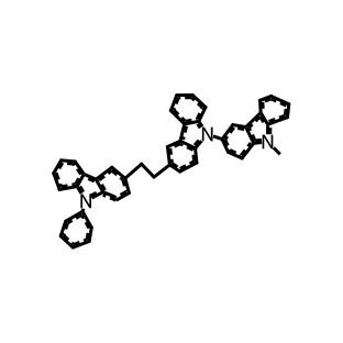 Cn1c2ccccc2c2cc(-n3c4ccccc4c4cc(CCc5ccc6c(c5)c5ccccc5n6-c5ccccc5)ccc43)ccc21